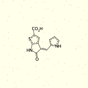 O=C1Nc2sc(C(=O)O)cc2/C1=C\c1ccc[nH]1